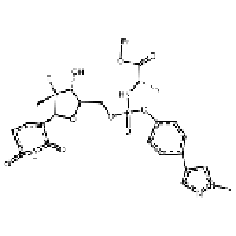 CC(C)OC(=O)[C@H](C)NP(=O)(OC[C@H]1O[C@@H](n2ccc(=O)[nH]c2=O)[C@](C)(F)[C@@H]1O)Oc1ccc(-c2cnn(C)c2)cc1